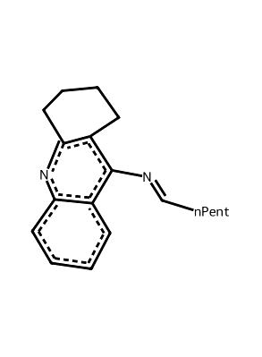 CCCCCC=Nc1c2c(nc3ccccc13)CCCC2